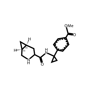 COC(=O)c1ccc(C2(NC(=O)C3C[C@@H]4C[C@@H]4CN3)CC2)cc1